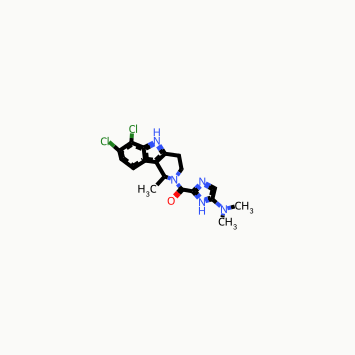 CC1c2c([nH]c3c(Cl)c(Cl)ccc23)CCN1C(=O)c1ncc(N(C)C)[nH]1